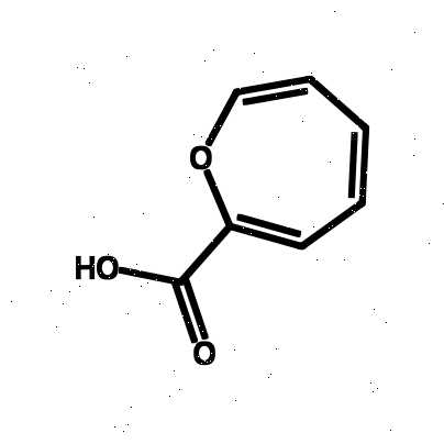 O=C(O)C1=CC=CC=CO1